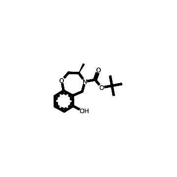 C[C@@H]1COc2cccc(O)c2CN1C(=O)OC(C)(C)C